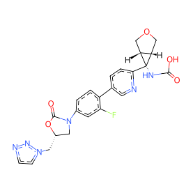 O=C(O)N[C@]1(c2ccc(-c3ccc(N4C[C@H](Cn5ccnn5)OC4=O)cc3F)cn2)[C@@H]2COC[C@@H]21